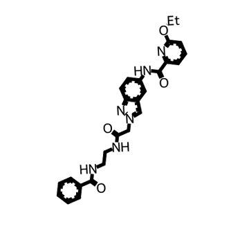 CCOc1cccc(C(=O)Nc2ccc3nn(CC(=O)NCCNC(=O)c4ccccc4)cc3c2)n1